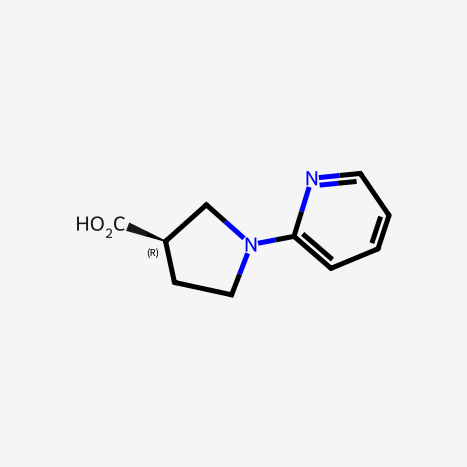 O=C(O)[C@@H]1CCN(c2ccccn2)C1